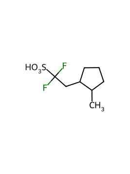 CC1CCCC1CC(F)(F)S(=O)(=O)O